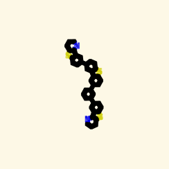 c1cc(-c2ccc3sc4ccc(-c5ccc6sc7cccnc7c6c5)cc4c3c2)cc(-c2ccc3sc4cccnc4c3c2)c1